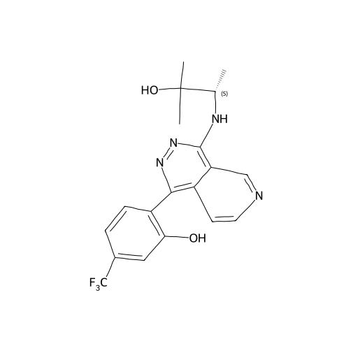 C[C@H](Nc1nnc(-c2ccc(C(F)(F)F)cc2O)c2ccncc12)C(C)(C)O